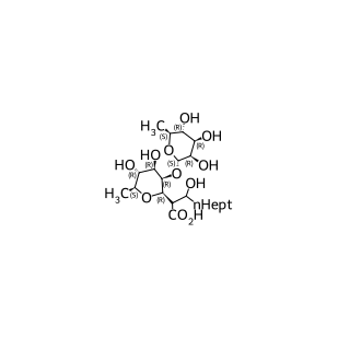 CCCCCCCC(O)C(C(=O)O)[C@H]1O[C@@H](C)[C@H](O)[C@@H](O)[C@H]1O[C@@H]1O[C@@H](C)[C@H](O)[C@@H](O)[C@H]1O